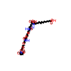 O=C(O)CCCCCCCCCCCCC(=O)N[C@@H](CCCC(=O)NCCOCCOCC(=O)NCCOCCOCC(=O)ON1C(=O)CCC1=O)C(=O)O